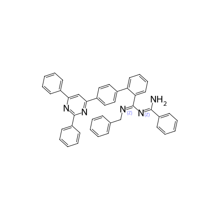 N/C(=N\C(=N/Cc1ccccc1)c1ccccc1-c1ccc(-c2cc(-c3ccccc3)nc(-c3ccccc3)n2)cc1)c1ccccc1